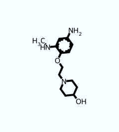 CNc1cc(N)ccc1OCCN1CCC(O)CC1